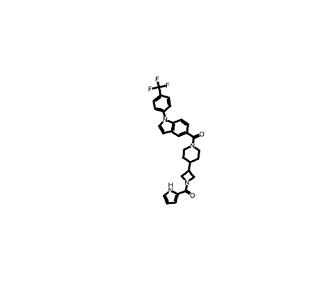 O=C(c1ccc2c(ccn2-c2ccc(C(F)(F)F)cc2)c1)N1CCC(C2CN(C(=O)c3ccc[nH]3)C2)CC1